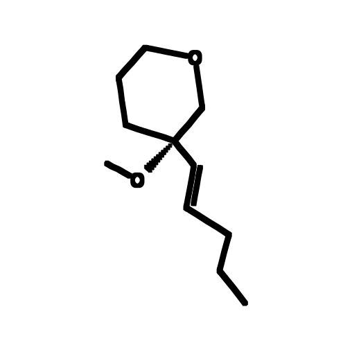 CCCC=C[C@@]1(OC)CCCOC1